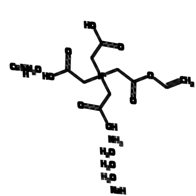 C=COC(=O)C[N+](CC(=O)O)(CC(=O)O)CC(=O)O.N.O.O.O.O.[Cu].[NaH].[NaH]